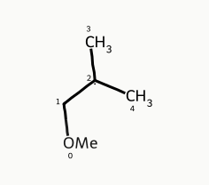 COC[C](C)C